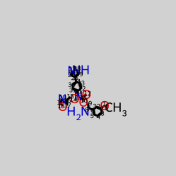 COc1cccc(C(N)COC(=O)N(OCc2cocn2)c2ccc(-c3cn[nH]c3)cc2)c1